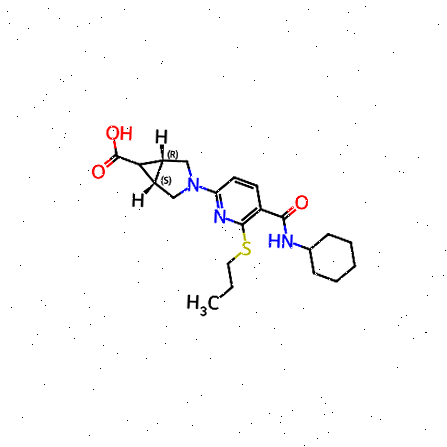 CCCSc1nc(N2C[C@@H]3C(C(=O)O)[C@@H]3C2)ccc1C(=O)NC1CCCCC1